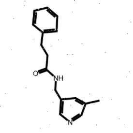 Cc1cncc(CNC(=O)CCc2ccccc2)c1